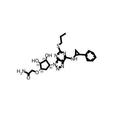 CCCSc1nc(NC2CC2c2ccccc2)c2nnn([C@@H]3C[C@H](OCC(N)=O)[C@@H](O)[C@H]3O)c2n1